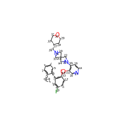 CCc1ccccc1-c1cc(F)ccc1Oc1cnccc1N1CC2(CN(CC3CCOCC3)C2)C1